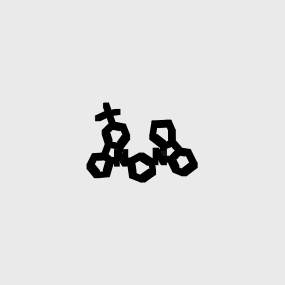 CC(C)(C)c1ccc2c(c1)c1ccccc1n2-c1cccc(-n2c3ccccc3c3ccccc32)c1